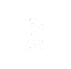 c1ccc2c(c#1)nc(-c1ccc(-c3c4ccc5c(c4nc4c3ccc3ccccc34)C=CCC5)cc1)n2-c1ccccc1